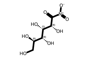 O=C([C@H](O)[C@@H](O)[C@H](O)[C@H](O)CO)[N+](=O)[O-]